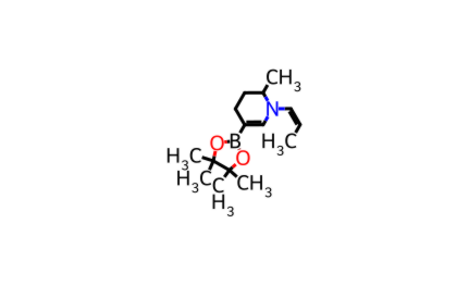 C/C=C\N1C=C(B2OC(C)(C)C(C)(C)O2)CCC1C